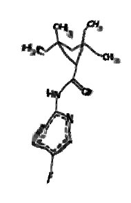 CC1(C)C(C(=O)Nc2ccc(F)cn2)C1(C)C